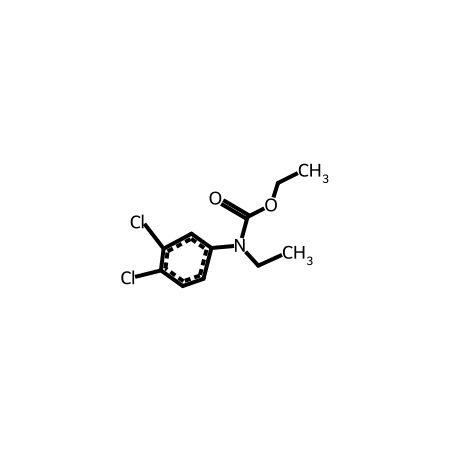 CCOC(=O)N(CC)c1ccc(Cl)c(Cl)c1